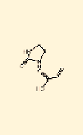 C=CC(=O)O.O=C1NCCN1